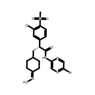 CS(=O)(=O)c1ccc([C@@H](CC2CCC(=NO)CC2)C(=O)Nc2cnc(Br)cn2)cc1Cl